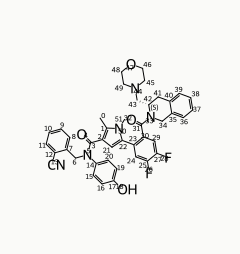 Cc1c(C(=O)N(Cc2ccccc2C#N)c2ccc(O)cc2)cc(-c2cc(F)c(F)cc2C(=O)N2Cc3ccccc3C[C@H]2CN2CCOCC2)n1C